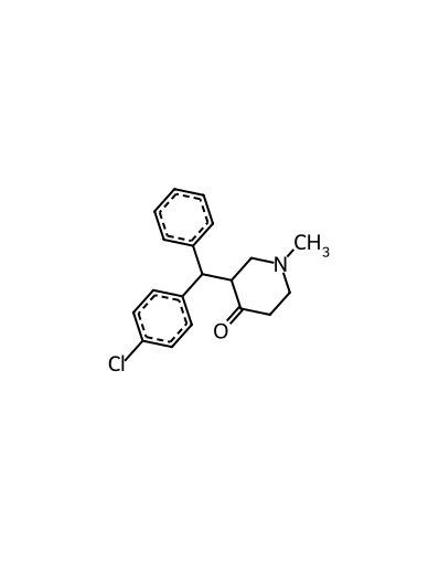 CN1CCC(=O)C(C(c2ccccc2)c2ccc(Cl)cc2)C1